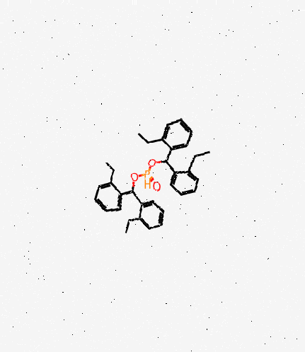 CCc1ccccc1C(O[PH](=O)OC(c1ccccc1CC)c1ccccc1CC)c1ccccc1CC